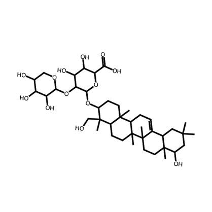 CC1(C)CC(O)C2(C)CCC3(C)C(=CCC4C5(C)CCC(OC6OC(C(=O)O)C(O)C(O)C6OC6OCC(O)C(O)C6O)C(C)(CO)C5CCC43C)C2C1